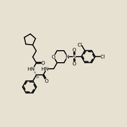 O=C(CCC1CCCC1)N[C@H](C(=O)NCC1CN(S(=O)(=O)c2ccc(Cl)cc2Cl)CCO1)c1ccccc1